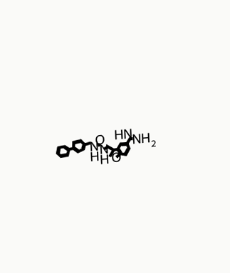 N=C(N)c1ccc2c(c1)C(CNC(=O)NCc1ccc(-c3ccccc3)cc1)CO2